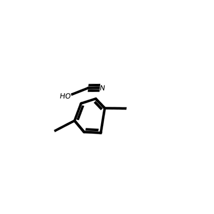 Cc1ccc(C)cc1.N#CO